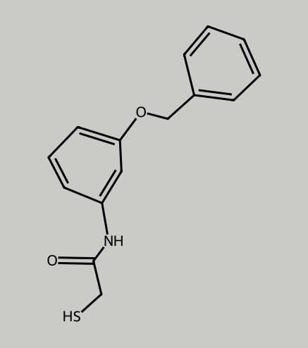 O=C(CS)Nc1cccc(OCc2ccccc2)c1